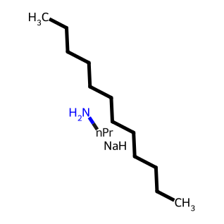 CCCCCCCCCCCC.CCCN.[NaH]